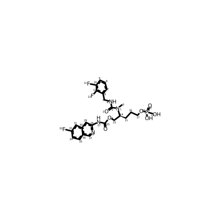 CN(C(=O)NCc1cccc(F)c1F)[C@@H](CCCOP(=O)(O)O)COC(=O)Nc1cc2cc(F)ccc2cn1